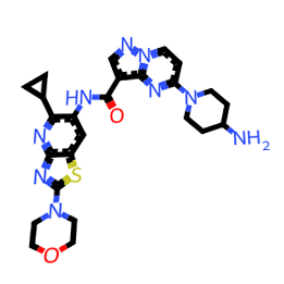 NC1CCN(c2ccn3ncc(C(=O)Nc4cc5sc(N6CCOCC6)nc5nc4C4CC4)c3n2)CC1